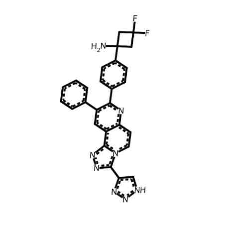 NC1(c2ccc(-c3nc4ccn5c(-c6c[nH]nn6)nnc5c4cc3-c3ccccc3)cc2)CC(F)(F)C1